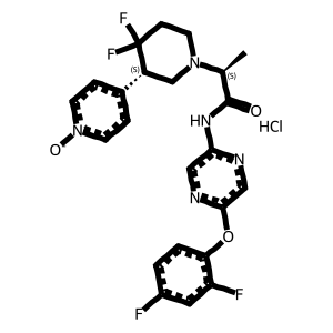 C[C@@H](C(=O)Nc1cnc(Oc2ccc(F)cc2F)cn1)N1CCC(F)(F)[C@@H](c2cc[n+]([O-])cc2)C1.Cl